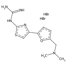 Br.Br.CN(C)Cc1ccc(-c2csc(NC(=N)N)n2)o1